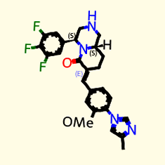 COc1cc(/C=C2\CC[C@H]3CNC[C@H](c4cc(F)c(F)c(F)c4)N3C2=O)ccc1-n1cnc(C)c1